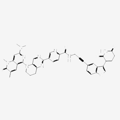 Cc1cc2c(N3CCCc4nc(-c5ccc(C(=O)NCC#Cc6ccc7occ(C8CCC(=O)NC8=O)c7c6)nc5)ncc43)nc(N(C)C)cc2n(C)c1=O